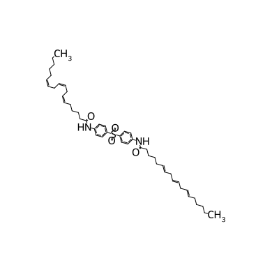 CCCCCC=CCC=CCC=CCCCCC(=O)Nc1ccc(S(=O)(=O)c2ccc(NC(=O)CCCC/C=C\C/C=C\C/C=C\CCCCC)cc2)cc1